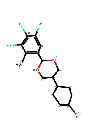 CCCC1CCC(C2COC(c3cc(F)c(F)c(F)c3C)OC2)CC1